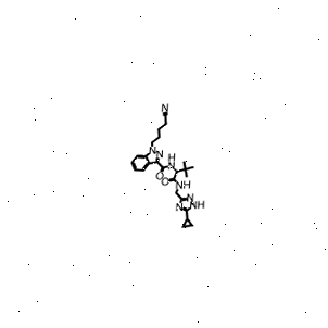 CC(C)(C)[C@H](NC(=O)c1nn(CCCCC#N)c2ccccc12)C(=O)NCc1n[nH]c(C2CC2)n1